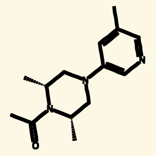 CC(=O)N1[C@H](C)CN(c2cncc(C)c2)C[C@@H]1C